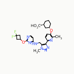 Cc1nc(-c2nnn(C)c2CNc2ccnc(OC3CC(F)(F)C3)n2)ccc1O[C@H]1CCC[C@H](C(=O)O)C1